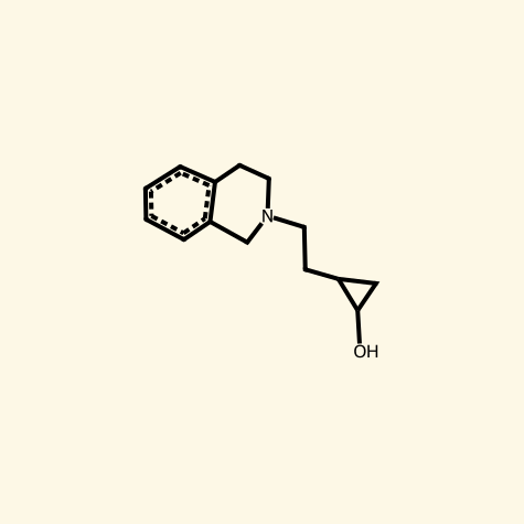 OC1CC1CCN1CCc2ccccc2C1